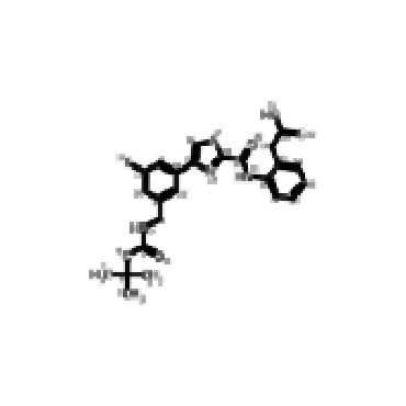 CC(C)(C)OC(=O)NCc1cc(F)cc(-c2csc(C(=O)Nc3ccccc3CC(=O)O)n2)c1